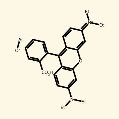 CC(=O)[O-].CCN(CC)c1ccc2c(-c3ccccc3C(=O)O)c3ccc(=[N+](CC)CC)cc-3oc2c1